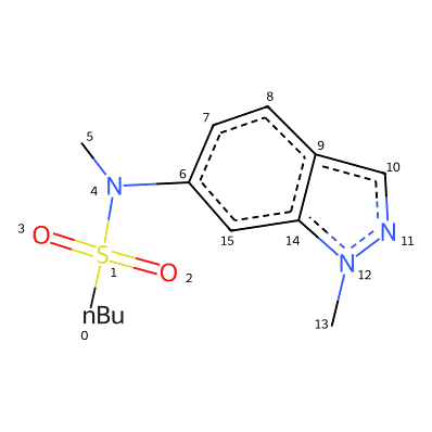 CCCCS(=O)(=O)N(C)c1ccc2cnn(C)c2c1